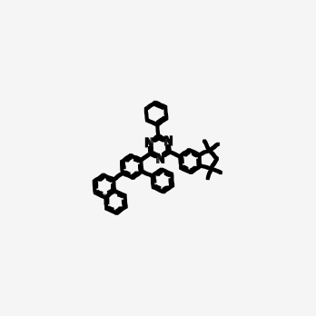 CC1(C)CC(C)(C)c2cc(-c3nc(C4=CC=CCC4)nc(-c4ccc(-c5cccc6ccccc56)cc4-c4ccccc4)n3)ccc21